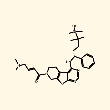 CN(C)C/C=C/C(=O)N1CCc2c(sc3ncnc(N[C@H](CCC(C)(C)[Si](C)(C)O)c4ccccc4)c23)C1